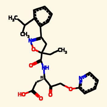 CCC1(C(=O)N[C@@H](CC(=O)O)C(=O)COc2ccccn2)CC(c2ccccc2C(C)C)=NO1